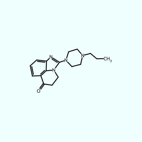 CCCN1CCN(c2nc3cccc4c3n2CCC4=O)CC1